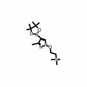 Cc1nn(OCC[Si](C)(C)C)cc1B1OC(C)(C)C(C)(C)O1